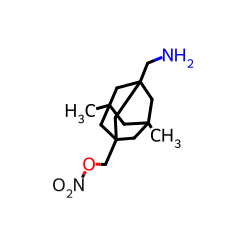 CC12CC3(C)CC(CN)(C1)CC(CO[N+](=O)[O-])(C2)C3